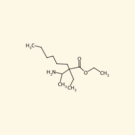 CCCCCCC(CC)(C(=O)OCC)C(C)N